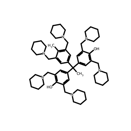 Cc1c(CN2CCCCC2)cc(C(C)(c2cc(CN3CCCCC3)c(O)c(CN3CCCCC3)c2)c2cc(CN3CCCCC3)c(O)c(CN3CCCCC3)c2)cc1CN1CCCCC1